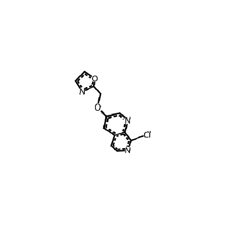 Clc1nccc2cc(OCc3ncco3)cnc12